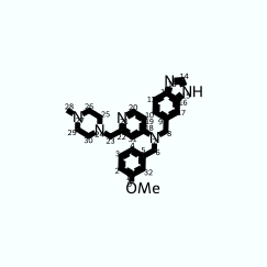 COc1cccc(CN(Cc2ccc3nc[nH]c3c2)c2ccnc(CN3CCN(C)CC3)c2)c1